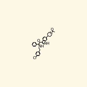 CC(=O)N1CCC(c2ccc3c(C(=O)[C@@H](NCCc4ccc(Cl)cc4)c4ccccc4)c[nH]c3c2)CC1